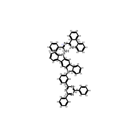 N=C(/N=C(\Nn1c2ccccc2c2cc3c(cc21)c1ccccc1n3-c1cccc(-c2nc(-c3ccccc3)nc(-c3ccccc3)n2)c1)c1ccccc1)c1ccccc1-c1ccccc1